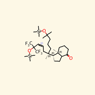 CC(C)(CCC[C@](C)(C/C=C\C(O[Si](C)(C)C)(C(F)(F)F)C(F)(F)F)[C@H]1CCC2C(=O)CCC[C@@]21C)O[Si](C)(C)C